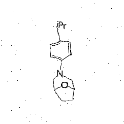 CC(C)c1ccc(N2CC3CCC(C2)O3)cc1